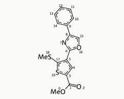 COC(=O)c1cc(-c2nc(-c3ccccc3)co2)c(SC)s1